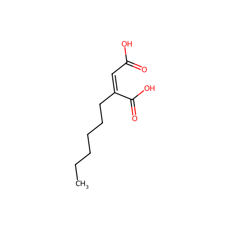 CCCCCCC(=CC(=O)O)C(=O)O